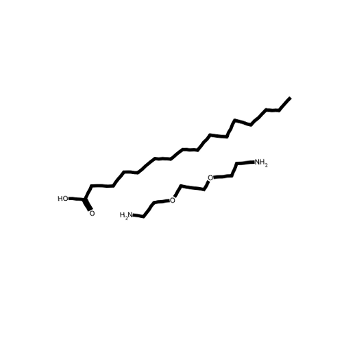 CCCCCCCCCCCCCCCC(=O)O.NCCOCCOCCN